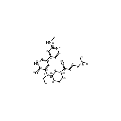 CCN(c1cc(-c2ccnc(NC)c2)c[nH]c1=O)[C@@H]1CCCN(C(=O)C=CCN(C)C)C1